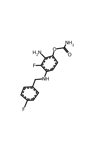 NC(=O)Oc1ccc(NCc2ccc(F)cc2)c(F)c1N